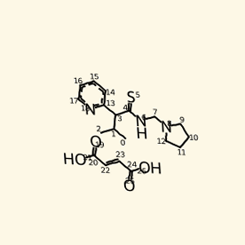 CC(C)C(C(=S)NCN1CCCC1)c1ccccn1.O=C(O)C=CC(=O)O